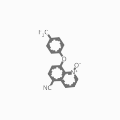 N#Cc1ccc(Oc2ccc(C(F)(F)F)cc2)c2c1ccc[n+]2[O-]